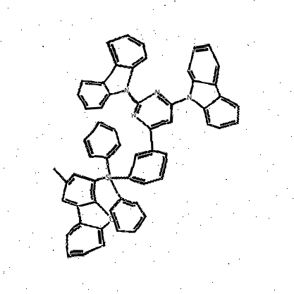 Cc1cc([Si](c2ccccc2)(c2ccccc2)c2cccc(-c3cc(-n4c5ccccc5c5ccccc54)nc(-n4c5ccccc5c5ccccc54)n3)c2)c2oc3ccccc3c2c1